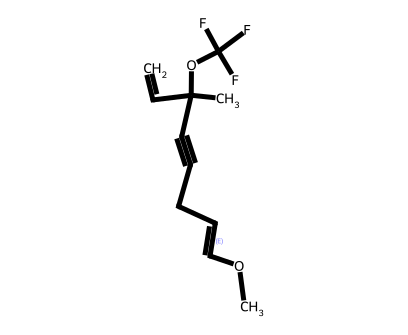 C=CC(C)(C#CC/C=C/OC)OC(F)(F)F